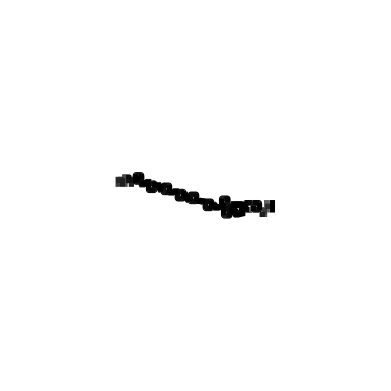 CCCOCCOCCOCCOCCOCCOCCC(=O)Oc1ccc(C(=O)O)cc1